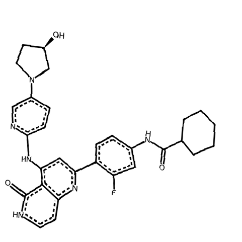 O=C(Nc1ccc(-c2cc(Nc3ccc(N4CC[C@@H](O)C4)cn3)c3c(=O)[nH]ccc3n2)c(F)c1)C1CCCCC1